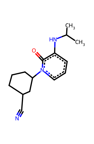 CC(C)Nc1cccn(C2CCCC(C#N)C2)c1=O